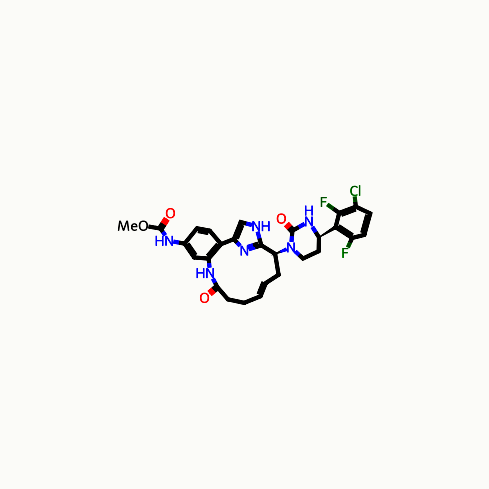 COC(=O)Nc1ccc2c(c1)NC(=O)CC/C=C/C[C@H](N1CC[C@H](c3c(F)ccc(Cl)c3F)NC1=O)c1nc-2c[nH]1